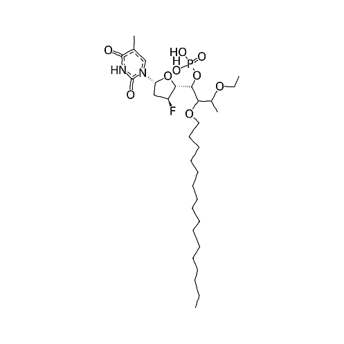 CCCCCCCCCCCCCCCCOC(C(C)OCC)C(OP(=O)(O)O)[C@H]1O[C@@H](n2cc(C)c(=O)[nH]c2=O)C[C@@H]1F